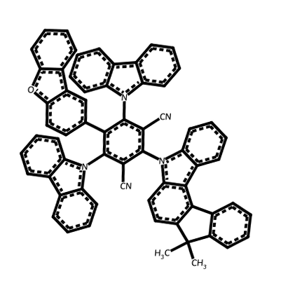 CC1(C)c2ccccc2-c2c1ccc1c2c2ccccc2n1-c1c(C#N)c(-n2c3ccccc3c3ccccc32)c(-c2ccc3oc4ccccc4c3c2)c(-n2c3ccccc3c3ccccc32)c1C#N